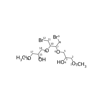 COCC(O)COC(CBr)C(CBr)OCC(O)COC